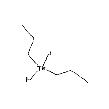 CCC[Te](I)(I)CCC